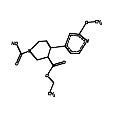 CCOC(=O)C1CN(C(=O)O)CCC1c1ccnc(OC)c1